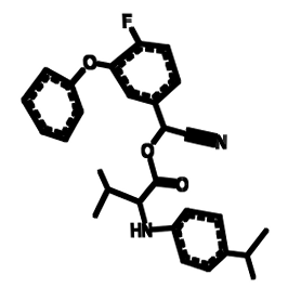 CC(C)c1ccc(NC(C(=O)OC(C#N)c2ccc(F)c(Oc3ccccc3)c2)C(C)C)cc1